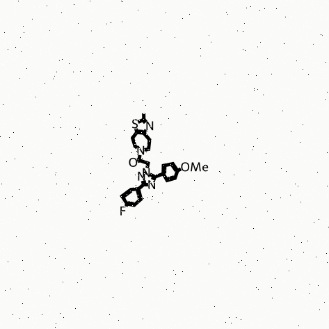 COc1ccc(-c2nc(-c3ccc(F)cc3)nn2CC(=O)N2CCc3nc(C)sc3CC2)cc1